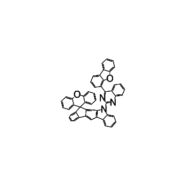 c1ccc2c(c1)Oc1ccccc1C21c2ccccc2-c2cc3c4ccccc4n(-c4nc(-c5cccc6c5oc5ccccc56)c5ccccc5n4)c3cc21